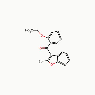 CCc1oc2ccccc2c1C(=O)c1ccccc1OCC(=O)O